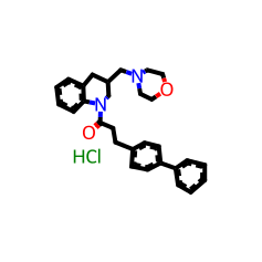 Cl.O=C(CCc1ccc(-c2ccccc2)cc1)N1CC(CN2CCOCC2)Cc2ccccc21